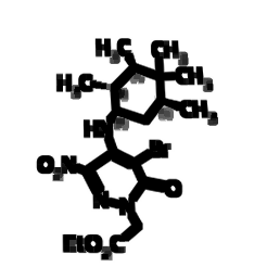 CCOC(=O)Cn1nc([N+](=O)[O-])c(N[C@@H]2C[C@H](C)C(C)(C)[C@H](C)[C@H]2C)c(Br)c1=O